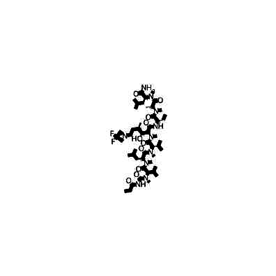 CCC(=O)NC(=O)N(C)C(C(=O)N(C)[C@@H](CC(C)C)C(=O)N(C)[C@H](C(=O)N(C)[C@H](C(=O)N[C@@H](CC)C(=O)N(C)[C@H](C)C(=O)N(C)[C@@H](CC(C)C)C(N)=O)[C@H](O)[C@H](C)CCN1CC(F)(F)C1)C(C)C)C(C)C